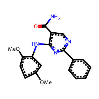 COc1ccc(OC)c(Nc2nc(-c3ccccc3)ncc2C(N)=O)c1